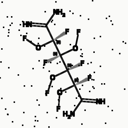 N=C(N)[C@](F)(OF)[C@@](F)(OF)[C@](F)(OF)[C@](F)(OF)C(=N)N